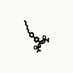 C=C(C)C(=O)OCC(CC)(COC(=O)C(=C)C)c1ccc(C2CCC(CCCCCCC)CC2)cc1